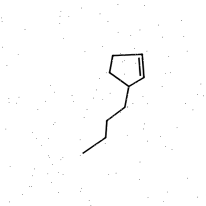 CCC[CH]C1C=CCC1